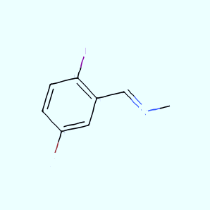 C/N=C/c1cc(Br)ccc1I